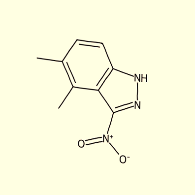 Cc1ccc2[nH]nc([N+](=O)[O-])c2c1C